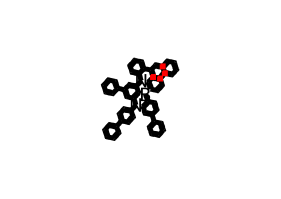 c1ccc(-c2ccc(N3c4cc(-c5ccccc5)ccc4B4c5ccc(-c6ccccc6)cc5N(c5ccccc5-c5ccccc5)c5cc(-c6ccccc6)cc3c54)cc2)cc1